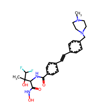 CN1CCN(Cc2ccc(C#Cc3ccc(C(=O)NC(C(=O)NO)C(C)(O)C(F)F)cc3)cc2)CC1